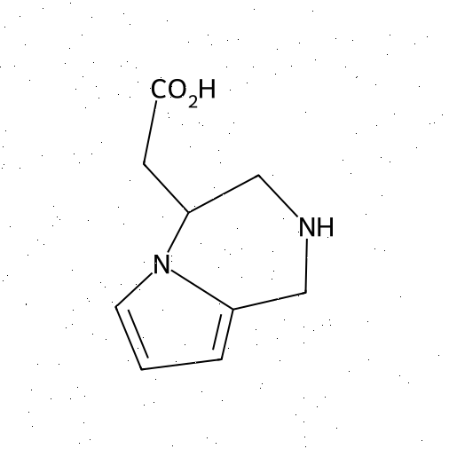 O=C(O)CC1CNCc2cccn21